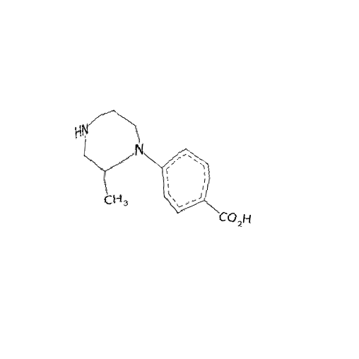 CC1CNCCN1c1ccc(C(=O)O)cc1